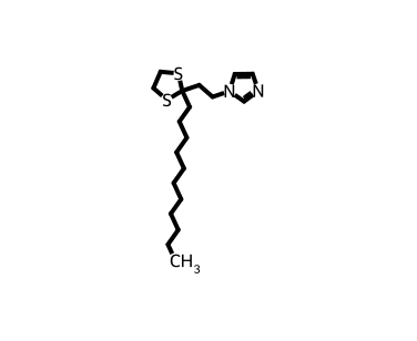 CCCCCCCCCCCC1(CCn2ccnc2)SCCS1